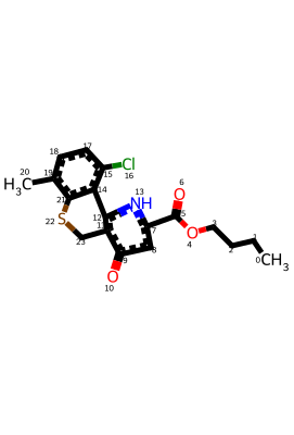 CCCCOC(=O)c1cc(=O)c2c([nH]1)-c1c(Cl)ccc(C)c1SC2